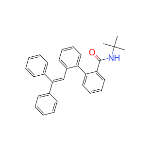 CC(C)(C)NC(=O)c1ccccc1-c1ccccc1C=C(c1ccccc1)c1ccccc1